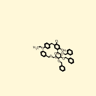 CCOc1ccc(Cc2cc([C@@H]3O[C@H](COCc4ccccc4)[C@@H](OCc4ccccc4)C(OCc4ccccc4)[C@H]3OCc3ccccc3)c(O)cc2Cl)cc1